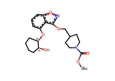 CC(C)(C)OC(=O)N1CCC(COc2noc3cccc(O[C@@H]4CCCC[C@@H]4O)c23)CC1